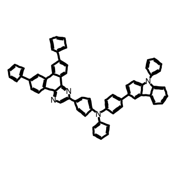 c1ccc(-c2ccc3c(c2)c2cc(-c4ccccc4)ccc2c2nc(-c4ccc(N(c5ccccc5)c5ccc(-c6ccc7c(c6)c6ccccc6n7-c6ccccc6)cc5)cc4)cnc32)cc1